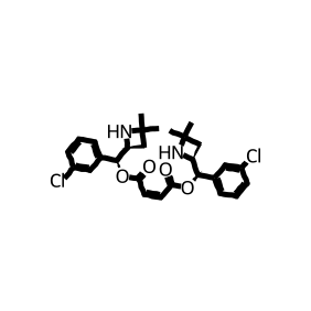 CC1(C)C[C@@H]([C@H](OC(=O)/C=C\C(=O)O[C@H](c2cccc(Cl)c2)[C@@H]2CC(C)(C)N2)c2cccc(Cl)c2)N1